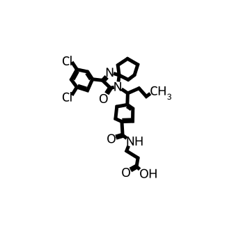 CCCC(C1=CC=C(C(=O)NCCC(=O)O)CC1)N1C(=O)C(c2cc(Cl)cc(Cl)c2)=NC12CCCCC2